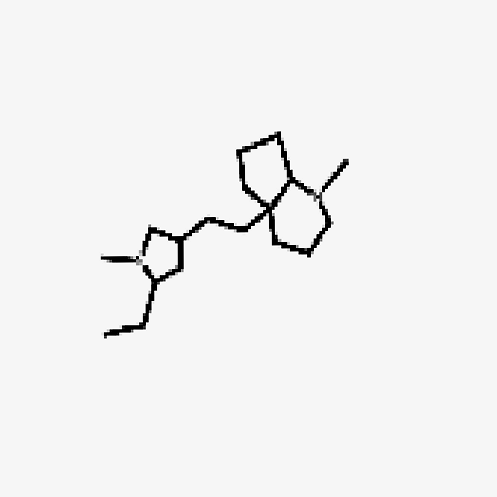 CCC1CC(CCC23CCCC2N(C)CCC3)CN1C